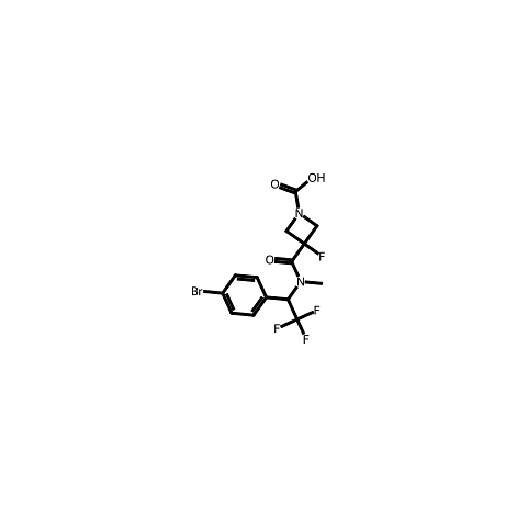 CN(C(=O)C1(F)CN(C(=O)O)C1)C(c1ccc(Br)cc1)C(F)(F)F